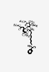 COC(=O)CC(CC(=O)OC)O[C@H]1O[C@H](COC(C)=O)[C@@H](OC(C)=O)[C@H](OC(C)=O)[C@@H]1NC(=O)CCCCCCCNC(=O)c1ccccc1